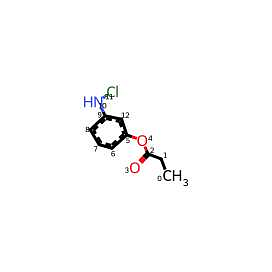 CCC(=O)Oc1cccc(NCl)c1